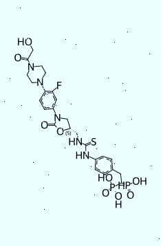 O=C(CO)N1CCN(c2ccc(N3C[C@H](CNC(=S)Nc4ccc(CC([PH](=O)O)P(=O)(O)O)cc4)OC3=O)cc2F)CC1